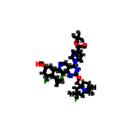 [2H]C1([2H])CC[C@@]2(COc3nc(N4CC5CCC4CN5C(=O)OC(C)(C)C)c4cnc(-c5cc(O)cc(F)c5C5CC5)c(F)c4n3)C[C@@]([2H])(F)CN12